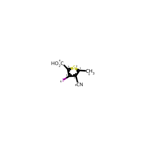 Cc1sc(C(=O)O)c(I)c1C#N